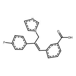 O=C(O)c1cccc(C=C(Cn2ccnc2)c2ccc(F)cc2)c1